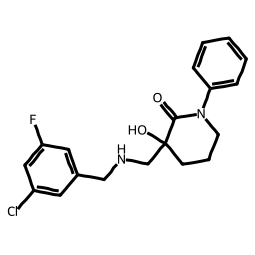 O=C1N(c2ccccc2)CCCC1(O)CNCc1cc(F)cc(Cl)c1